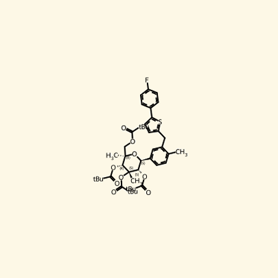 Cc1ccc([C@@H]2O[C@](C)(COC(=O)C(C)(C)C)[C@@H](OC(=O)C(C)(C)C)[C@@](C)(OC(=O)C(C)(C)C)[C@H]2OC(=O)C(C)(C)C)cc1Cc1ccc(-c2ccc(F)cc2)s1